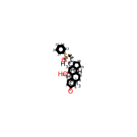 C[C@]12CCC(=O)C=C1CC[C@@H]1[C@@H]2C(O)C[C@]2(C)C(=C=C[S+]([O-])c3ccccc3)CC[C@@H]12